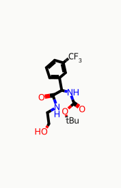 CC(C)(C)OC(=O)NC(C(=O)NCCO)c1cccc(C(F)(F)F)c1